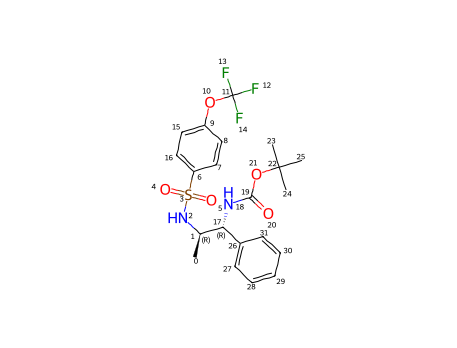 C[C@@H](NS(=O)(=O)c1ccc(OC(F)(F)F)cc1)[C@H](NC(=O)OC(C)(C)C)c1ccccc1